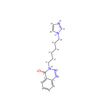 O=c1c2ccccc2nnn1CCCCCCn1ccnc1